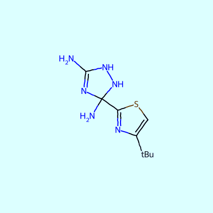 CC(C)(C)c1csc(C2(N)N=C(N)NN2)n1